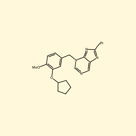 COc1ccc(Cn2cncc3nc(C(C)C)nc2-3)cc1OC1CCCC1